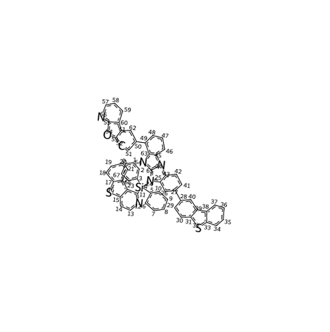 c1ccc([Si](c2ccccc2)(c2nccc3sc4ccccc4c23)n2c3cc(-c4ccc5sc6ccccc6c5c4)ccc3n3c4cccc(-c5ccc6oc7ncccc7c6c5)c4nc23)cc1